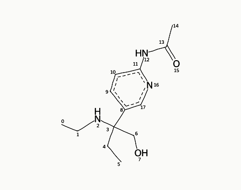 CCNC(CC)(CO)c1ccc(NC(C)=O)nc1